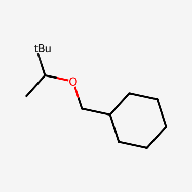 CC(OCC1CCCCC1)C(C)(C)C